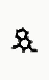 CC(C)(C)c1nc2ccccc2c(=O)o1